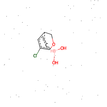 Clc1cc2ccc1OC2.OBO